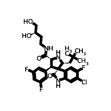 CC(C)(C)C[C@H]1N[C@@H](C(=O)NCC[C@H](O)CO)[C@H](c2cc(F)cc(F)c2)[C@@]12C(=O)Nc1cc(Cl)c(F)cc12